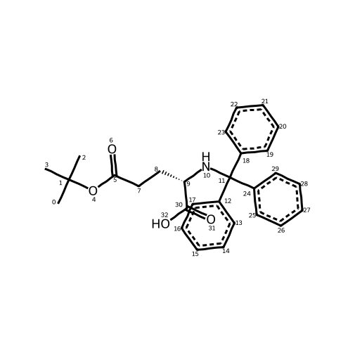 CC(C)(C)OC(=O)CC[C@H](NC(c1ccccc1)(c1ccccc1)c1ccccc1)C(=O)O